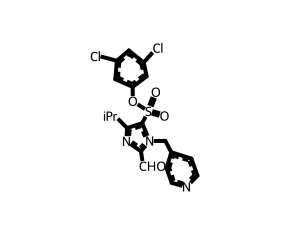 CC(C)c1nc(C=O)n(Cc2ccncc2)c1S(=O)(=O)Oc1cc(Cl)cc(Cl)c1